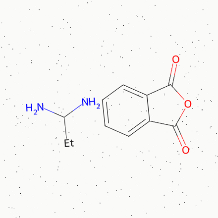 O=C1OC(=O)c2ccccc21.[CH2]CC(N)N